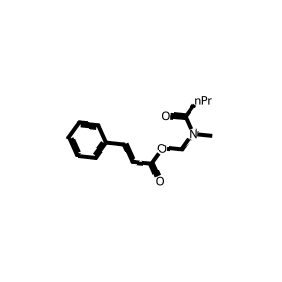 CCCC(=O)N(C)COC(=O)C=Cc1ccccc1